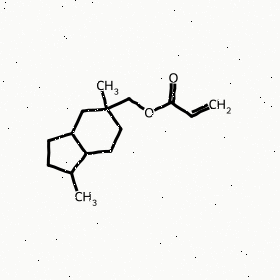 C=CC(=O)OCC1(C)CCC2C(C)CCC2C1